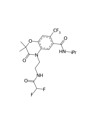 CC(C)NC(=O)c1cc2c(cc1C(F)(F)F)OC(C)(C)C(=O)N2CCNC(=O)C(F)F